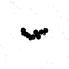 c1ccc2c(c1)oc1cc3cc4oc5ccc(-c6c7ccccc7c(-c7ccc8c(c7)sc7ccccc78)c7ccccc67)cc5c4cc3cc12